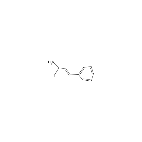 NC(I)C=Cc1ccccc1